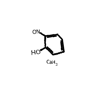 O=Nc1ccccc1O.[CaH2]